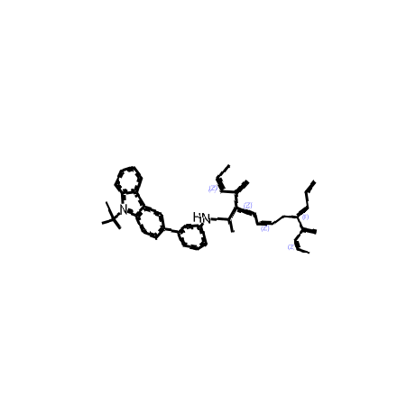 C=C/C=C(\C/C=C\C=C(\C(=C)/C=C\C)C(C)Nc1cccc(-c2ccc3c(c2)c2ccccc2n3C(C)(C)C)c1)C(=C)/C=C\C